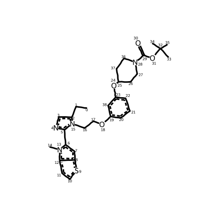 CCc1cnc(-c2cc3sccc3n2C)n1CCOc1cccc(OC2CCN(C(=O)OC(C)(C)C)CC2)c1